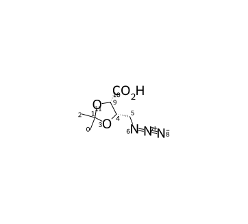 CC1(C)O[C@@H](CN=[N+]=[N-])[C@@H](C(=O)O)O1